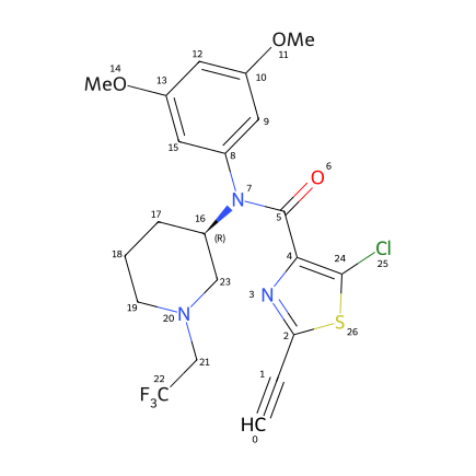 C#Cc1nc(C(=O)N(c2cc(OC)cc(OC)c2)[C@@H]2CCCN(CC(F)(F)F)C2)c(Cl)s1